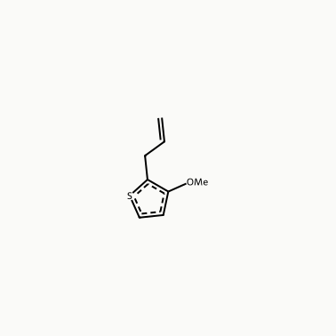 C=CCc1sccc1OC